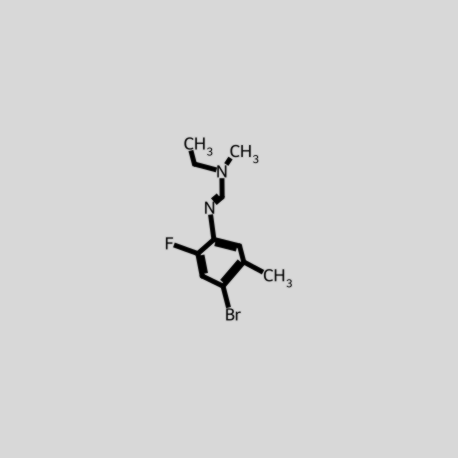 CCN(C)C=Nc1cc(C)c(Br)cc1F